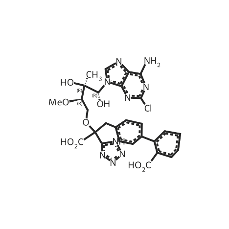 CO[C@H](COC(Cc1ccc(-c2ccccc2C(=O)O)cc1)(C(=O)O)c1nnn[nH]1)[C@@](C)(O)[C@@H](O)n1cnc2c(N)nc(Cl)nc21